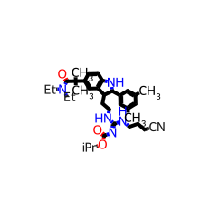 CCN(CC)C(=O)C(C)(C)c1ccc2c(c1)C(CCN/C(=N\C(=O)OC(C)C)NCCCC#N)C(c1cc(C)cc(C)c1)N2